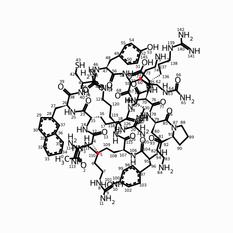 CC(=O)N[C@@H](CCCNC(=N)N)C(=O)N[C@@H](CCCNC(=N)N)C(=O)N[C@@H](Cc1ccc2ccccc2c1)C(=O)N[C@@H](CS)C(=O)N[C@@H](Cc1ccc(O)cc1)C(=O)N[C@@H](CCCNC(N)=O)C(=O)N[C@@H](CCCCN)C(=O)N[C@H](CCCCN)C(=O)N1CCC[C@H]1C(=O)N[C@@H](Cc1ccc(O)cc1)C(=O)N[C@@H](CCCNC(=N)N)C(=O)N[C@@H](CCCNC(N)=O)C(=O)N[C@@H](CS)C(=O)N[C@@H](CCCNC(=N)N)C(=O)O